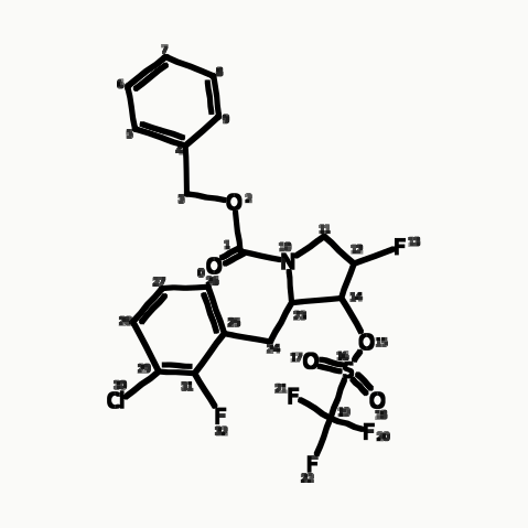 O=C(OCc1ccccc1)N1CC(F)C(OS(=O)(=O)C(F)(F)F)C1Cc1cccc(Cl)c1F